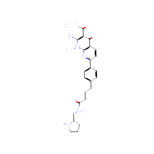 CCN1CCCC1CNC(=O)CCCc1ccc(-c2ccc3c(=O)c(C(=O)NC)c(N)n(CC)c3n2)cc1